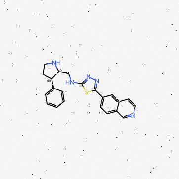 c1ccc([C@H]2CCN[C@H]2CNc2nnc(-c3ccc4cnccc4c3)s2)cc1